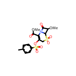 COC(=O)C1=C(OS(=O)(=O)c2ccc(C)cc2)CS(=O)(=O)C2C(OC)C(=O)N12